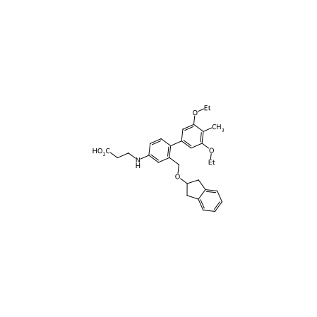 CCOc1cc(-c2ccc(NCCC(=O)O)cc2COC2Cc3ccccc3C2)cc(OCC)c1C